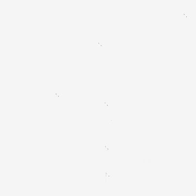 Cl.N#Cc1ccc(Cc2cnccc2CN(C(=O)CN2C=CNC2)C2CCN(c3ccccc3)CC2)cc1